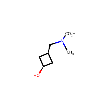 CN(C[C@H]1C[C@@H](O)C1)C(=O)O